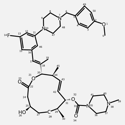 COc1ccc(CN2CCN(c3cc(F)cc(/C=C(\C)[C@H]4OC(=O)C[C@H](O)CC[C@H](C)[C@@H](OC(=O)N5CCN(C)CC5)/C=C/[C@@H]4C)c3)CC2)cc1